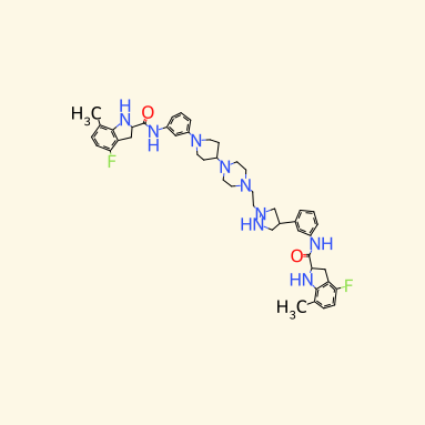 Cc1ccc(F)c2c1NC(C(=O)Nc1cccc(C3CNN(CCN4CCN(C5CCN(c6cccc(NC(=O)C7Cc8c(F)ccc(C)c8N7)c6)CC5)CC4)C3)c1)C2